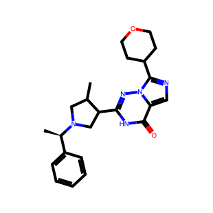 CC1CN([C@H](C)c2ccccc2)CC1c1nn2c(C3CCOCC3)ncc2c(=O)[nH]1